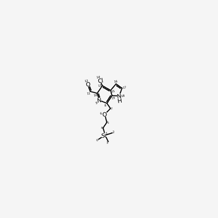 C[Si](C)(C)CCOCc1nc(C=O)c(Cl)c2cc[nH]c12